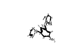 Nc1cc(-n2nccn2)cc(-n2nccn2)c1